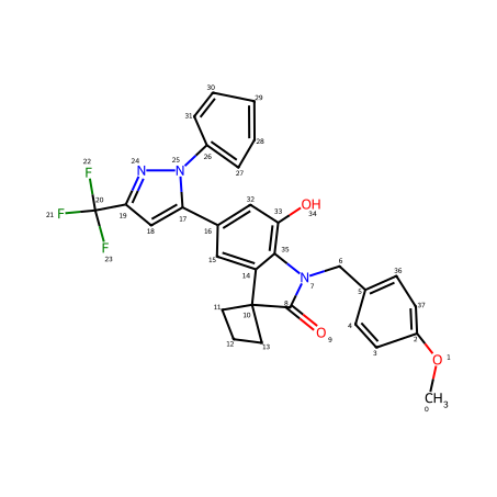 COc1ccc(CN2C(=O)C3(CCC3)c3cc(-c4cc(C(F)(F)F)nn4-c4ccccc4)cc(O)c32)cc1